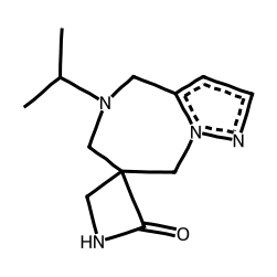 CC(C)N1Cc2ccnn2CC2(CNC2=O)C1